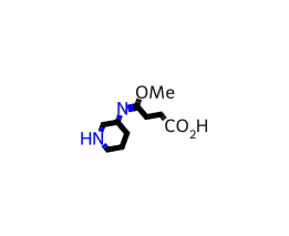 COC(CCC(=O)O)=NC1CCCNC1